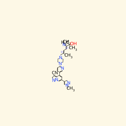 C=N/C(=C\C=C(/C)CN1CCN(c2ccc(-c3cc(-c4cnn(C)c4)cn4ncc(C#N)c34)cn2)CC1)C(C)(C)O